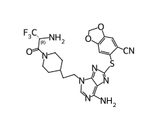 N#Cc1cc2c(cc1Sc1nc3c(N)ncn(CCC4CCN(C(=O)[C@@H](N)C(F)(F)F)CC4)c-3n1)OCO2